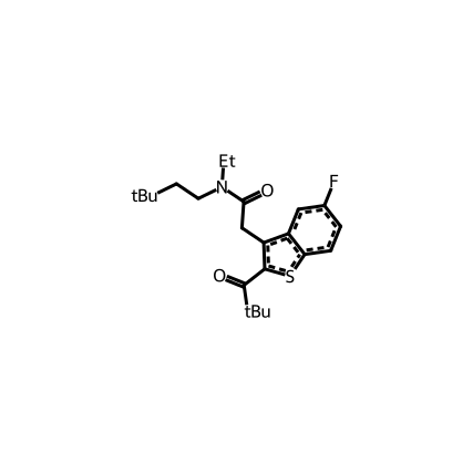 CCN(CCC(C)(C)C)C(=O)Cc1c(C(=O)C(C)(C)C)sc2ccc(F)cc12